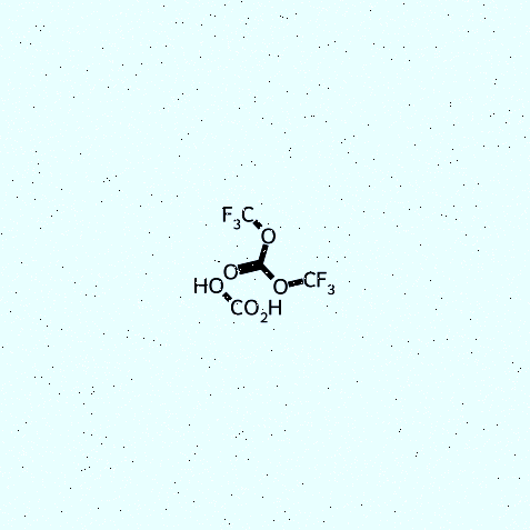 O=C(O)O.O=C(OC(F)(F)F)OC(F)(F)F